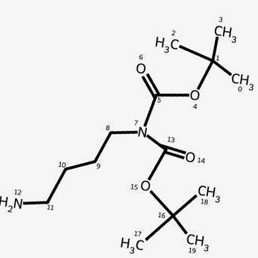 CC(C)(C)OC(=O)N(CCCCN)C(=O)OC(C)(C)C